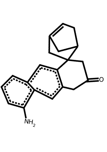 Nc1cccc2cc3c(cc12)CC(=O)CC31CC2=CCC1C2